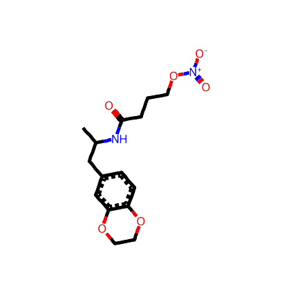 CC(Cc1ccc2c(c1)OCCO2)NC(=O)CCCO[N+](=O)[O-]